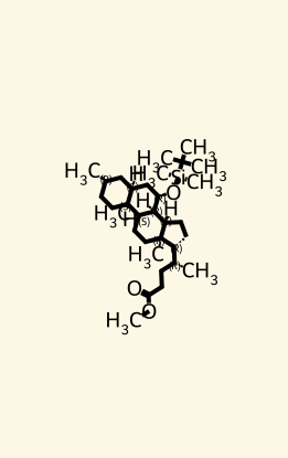 COC(=O)CC[C@@H](C)[C@H]1CC[C@H]2[C@@H]3[C@H](O[Si](C)(C)C(C)(C)C)C[C@@H]4C[C@H](C)CC[C@]4(C)[C@H]3CC[C@]12C